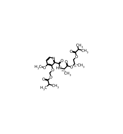 COc1ccnc(C(=O)N[C@@H](C)C(=O)O[C@@H](C)COC(=O)C(C)C)c1OCOC(=O)C(C)C